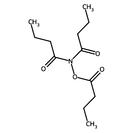 CCCC(=O)ON(C(=O)CCC)C(=O)CCC